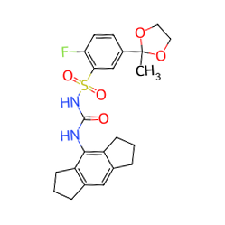 CC1(c2ccc(F)c(S(=O)(=O)NC(=O)Nc3c4c(cc5c3CCC5)CCC4)c2)OCCO1